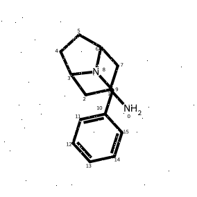 NC1CC2CCC(C1)N2Cc1ccccc1